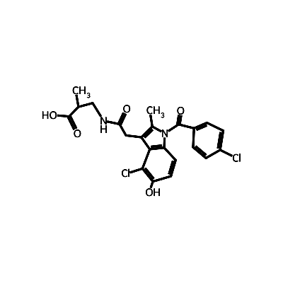 Cc1c(CC(=O)NCC(C)C(=O)O)c2c(Cl)c(O)ccc2n1C(=O)c1ccc(Cl)cc1